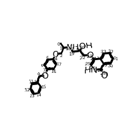 CC(COc1ccc(OCc2ccccc2)cc1)NCC(O)COc1c[nH]c(=O)c2ccccc12